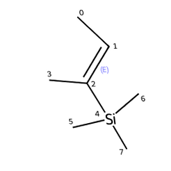 C/C=C(\C)[Si](C)(C)C